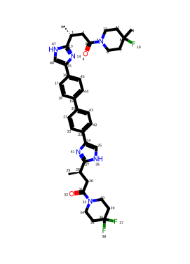 C[C@H](CC(=O)N1CCC(C)(F)CC1)c1nc(-c2ccc(-c3ccc(-c4c[nH]c([C@H](C)CC(=O)N5CCC(F)(F)CC5)n4)cc3)cc2)c[nH]1